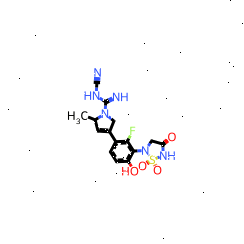 CC1C=C(c2ccc(O)c(N3CC(=O)NS3(=O)=O)c2F)CN1C(=N)NC#N